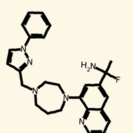 CC(N)(F)c1cc(N2CCCN(Cc3ccn(-c4ccccc4)n3)CC2)c2ncccc2c1